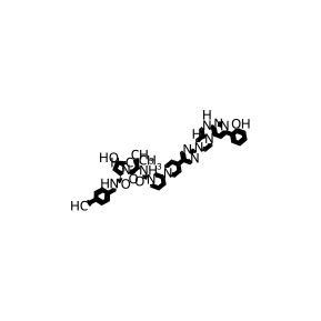 C#Cc1ccc(CNC(=O)[C@@H]2C[C@@H](O)CN2C(=O)[C@@H](NC(=O)N2CCCC(N3CCC(c4cnc(N5CCN6c7cc(-c8ccccc8O)nnc7NC[C@H]6C5)nc4)CC3)C2)C(C)(C)C)cc1